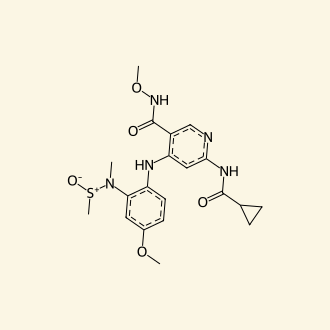 CONC(=O)c1cnc(NC(=O)C2CC2)cc1Nc1ccc(OC)cc1N(C)[S+](C)[O-]